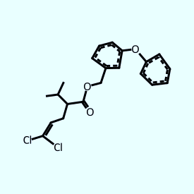 CC(C)C(CC=C(Cl)Cl)C(=O)OCc1cccc(Oc2ccccc2)c1